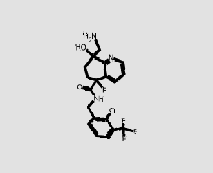 NCC1(O)CCC(F)(C(=O)NCc2cccc(C(F)(F)F)c2Cl)c2cccnc21